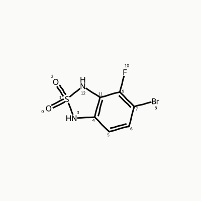 O=S1(=O)Nc2ccc(Br)c(F)c2N1